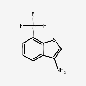 Nc1csc2c(C(F)(F)F)cccc12